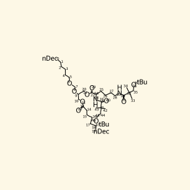 CCCCCCCCCCCCCCCOCOC(COC(=O)CCCCCCCCCCCCCCC)COC(=O)C(CCCCNC(=O)C(C)(C)COC(C)(C)C)NC(=O)C(C)(C)CCOC(C)(C)C